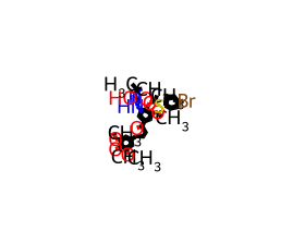 COc1cc(C2CCC(c3cc(OC)c(OC)c(OC)c3)O2)cc(NC(=O)N(O)C(C)C)c1OC(C)Sc1ccc(Br)cc1